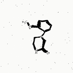 COc1ccccc1N1CCNC(=O)C1